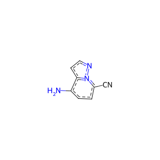 N#Cc1ccc(N)c2ccnn12